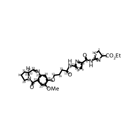 CCOC(=O)C1CSC(NC(=O)c2csc(NC(=O)CCCOc3cc4c(cc3OC)C(=O)N3CCC[C@H]3C=N4)n2)=N1